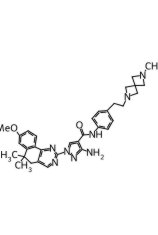 COc1ccc2c(c1)C(C)(C)Cc1cnc(-n3cc(C(=O)Nc4ccc(CCN5CC6(CN(C)C6)C5)cc4)c(N)n3)nc1-2